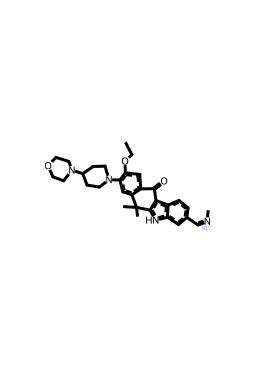 CCOc1cc2c(cc1N1CCC(N3CCOCC3)CC1)C(C)(C)c1[nH]c3cc(/C=N\C)ccc3c1C2=O